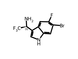 N[C@@H](c1c[nH]c2cc(Br)c(F)cc12)C(F)(F)F